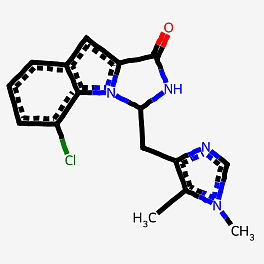 Cc1c(CC2NC(=O)c3cc4cccc(Cl)c4n32)ncn1C